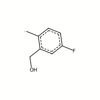 [CH2]c1ccc(F)cc1CO